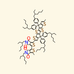 CCCCC(CC)Cc1ccc(C2(c3ccc(CC(CC)CCCC)cc3)c3cc(C)sc3-c3sc4c5c(sc4c32)-c2sc(-c3sc(-c4sc(C)c6c4C(=O)N(CC(CC)CCCC)C6=O)c4c3C(=O)N(CC(CC)CCCC)C4=O)cc2C5(c2ccc(CC(CC)CCCC)cc2)c2ccc(CC(CC)CCCC)cc2)cc1